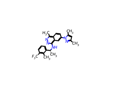 Cc1cc(C)n(-c2ccc3c(C)nnc(N[C@H](C)c4cccc(C(F)(F)F)c4C)c3c2)n1